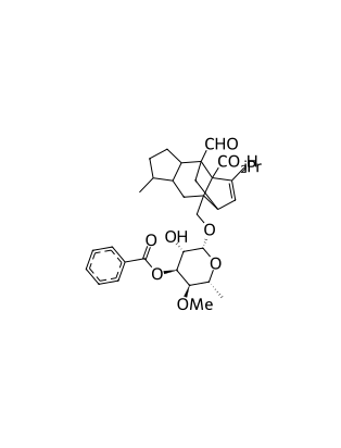 CO[C@H]1[C@@H](OC(=O)c2ccccc2)[C@H](O)[C@H](OCC23CC4C(C)CCC4C4(C=O)CC2C=C(C(C)C)C43C(=O)O)O[C@@H]1C